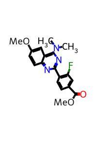 COC(=O)c1ccc(-c2nc(N(C)C)c3cc(OC)ccc3n2)c(F)c1